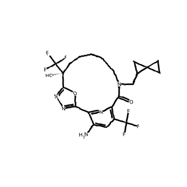 Nc1cc(C(F)(F)F)c2nc1-c1nnc(o1)[C@@](O)(C(F)(F)F)CCCCCN(CC1CC13CC3)C2=O